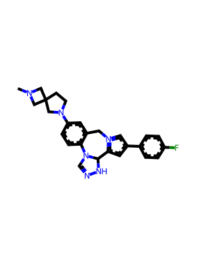 CN1CC2(CCN(c3ccc4c(c3)Cn3cc(-c5ccc(F)cc5)cc3C3NN=CN43)C2)C1